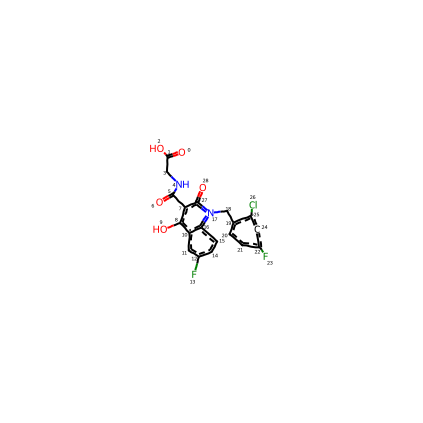 O=C(O)CNC(=O)c1c(O)c2cc(F)ccc2n(Cc2ccc(F)cc2Cl)c1=O